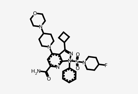 NC(=O)c1cc(N2CCC(N3CCOCC3)CC2)c2c(n1)[N+](c1ccccc1)(S(=O)(=O)N1CCC(F)CC1)N=C2C1CCC1